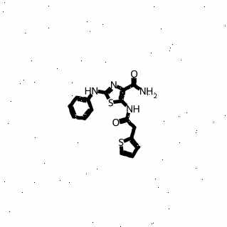 NC(=O)c1nc(Nc2ccccc2)sc1NC(=O)Cc1cccs1